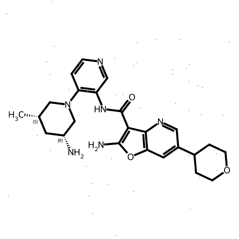 C[C@H]1C[C@@H](N)CN(c2ccncc2NC(=O)c2c(N)oc3cc(C4CCOCC4)cnc23)C1